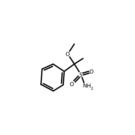 COC(C)(c1ccccc1)S(N)(=O)=O